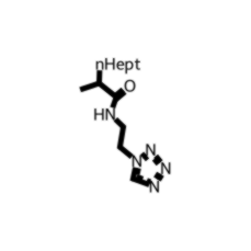 CCCCCCCC(C)C(=O)NCCn1cnnn1